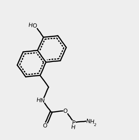 NPOC(=O)NCc1cccc2c(O)cccc12